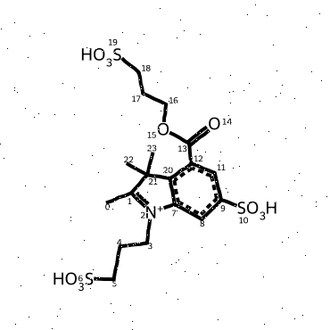 CC1=[N+](CCCS(=O)(=O)O)c2cc(S(=O)(=O)O)cc(C(=O)OCCCS(=O)(=O)O)c2C1(C)C